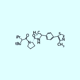 Cc1ncsc1-c1ccc([C@H](C)NC(=O)[C@@H]2CCCN2C(=O)C(C(C)C)C(C)(C)C)cc1